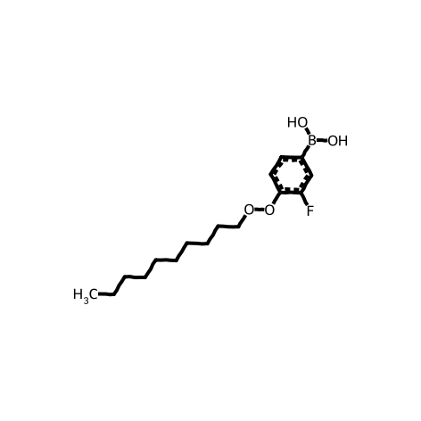 CCCCCCCCCCOOc1ccc(B(O)O)cc1F